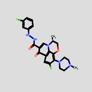 C[C@H]1COc2c(N3CCN(C)CC3)c(F)cc3c(=O)c(C(=O)NNc4cccc(F)c4)cn1c23